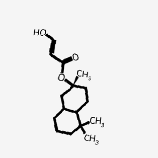 CC1(C)CCCC2C[C@](C)(OC(=O)/C=C/O)CCC21